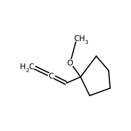 C=C=CC1(OC)CCCC1